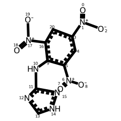 O=[N+]([O-])c1cc([N+](=O)[O-])c(Nc2nc[nH]n2)c([N+](=O)[O-])c1